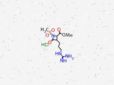 COC(=O)C1C(CCCNC(=N)N)C(=O)N1S(C)(=O)=O.Cl